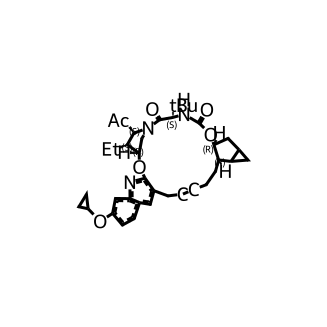 CC[C@@H]1[C@@H]2CN(C(=O)[C@H](C(C)(C)C)NC(=O)O[C@@H]3CC4CC4[C@H]3CCCCCc3cc4ccc(OC5CC5)cc4nc3O2)[C@@H]1C(C)=O